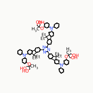 CCC1(CC)c2cc(-c3nc(-c4ccc5c(c4)C(CC)(CC)c4cc(N(c6ccccc6)c6cccc(OC(C)(CO)CO)c6)ccc4-5)nc(-c4ccc5c(c4)C(CC)(CC)c4cc(N(c6ccccc6)c6cccc(OC(C)(CO)CO)c6)ccc4-5)n3)ccc2-c2ccc(N(c3ccccc3)c3cccc(OC(C)(CO)CO)c3)cc21